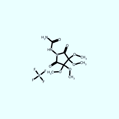 COC1(OC)C(=O)N(NC(N)=O)C(=O)C1(OC)OC.F[B-](F)(F)F